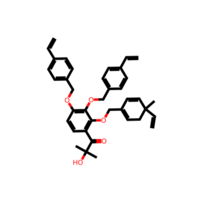 C=Cc1ccc(COc2ccc(C(=O)C(C)(C)O)c(OCC3=CCC(C)(C=C)C=C3)c2OCc2ccc(C=C)cc2)cc1